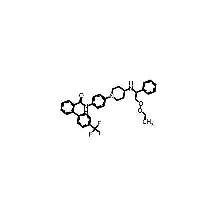 CCOOCC(NC1CCN(c2ccc(NC(=O)c3ccccc3-c3ccc(C(F)(F)F)cc3)cc2)CC1)c1ccccc1